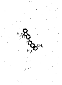 CC12CCC(C)(CC1)c1cc3cc(-c4ccc5c(c4)C(C)(C)c4ccccc4-5)ncc3cc12